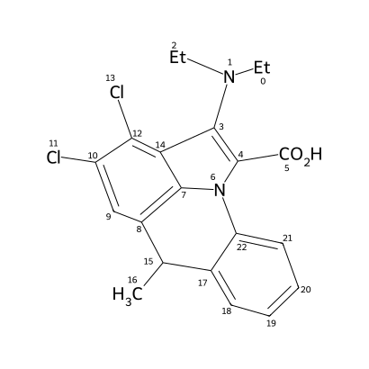 CCN(CC)c1c(C(=O)O)n2c3c(cc(Cl)c(Cl)c13)C(C)c1ccccc1-2